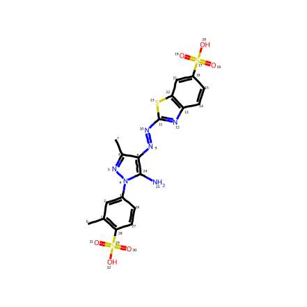 Cc1cc(-n2nc(C)c(/N=N/c3nc4ccc(S(=O)(=O)O)cc4s3)c2N)ccc1S(=O)(=O)O